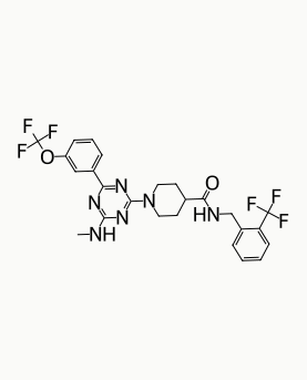 CNc1nc(-c2cccc(OC(F)(F)F)c2)nc(N2CCC(C(=O)NCc3ccccc3C(F)(F)F)CC2)n1